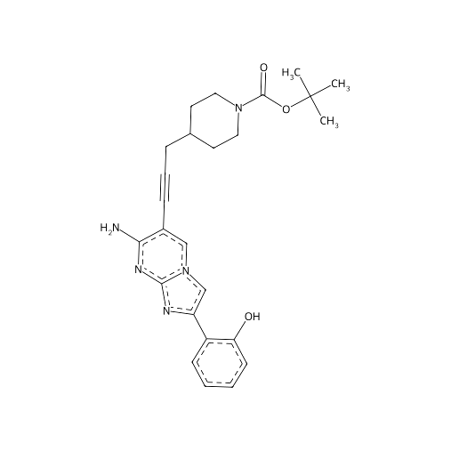 CC(C)(C)OC(=O)N1CCC(CC#Cc2cn3cc(-c4ccccc4O)nc3nc2N)CC1